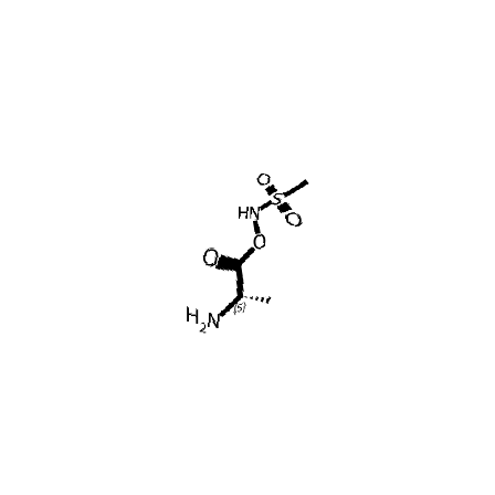 C[C@H](N)C(=O)ONS(C)(=O)=O